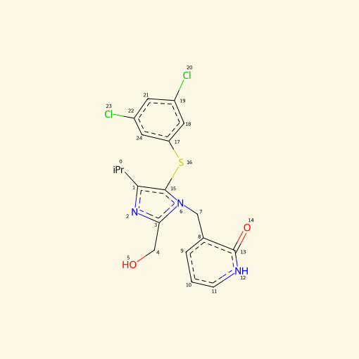 CC(C)c1nc(CO)n(Cc2ccc[nH]c2=O)c1Sc1cc(Cl)cc(Cl)c1